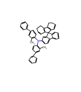 Cc1cc(-c2ccccc2)ccc1N(c1ccc2c(c1)C1(C3=C(CCC=C3)C3=C1C=CCC3)c1ccccc1-2)c1ccc(-c2ccccc2)cc1C